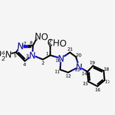 O=CC(Cn1cc([N+](=O)[O-])nc1[N+](=O)[O-])N1CCN(c2ccccc2)CC1